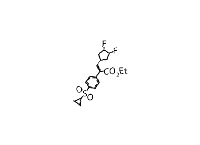 CCOC(=O)/C(=C\[C@H]1C[C@@H](F)[C@@H](F)C1)c1ccc(S(=O)(=O)C2CC2)cc1